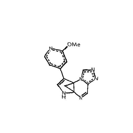 COc1cc(C2=CNC34CC23n2cnnc2C=N4)ccn1